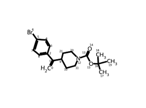 C=C(c1ccc(Br)cc1)C1CCN(C(=O)OC(C)(C)C)CC1